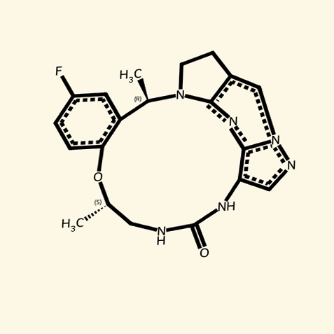 C[C@@H]1c2cc(F)ccc2O[C@@H](C)CNC(=O)Nc2cnn3cc4c(nc23)N1CC4